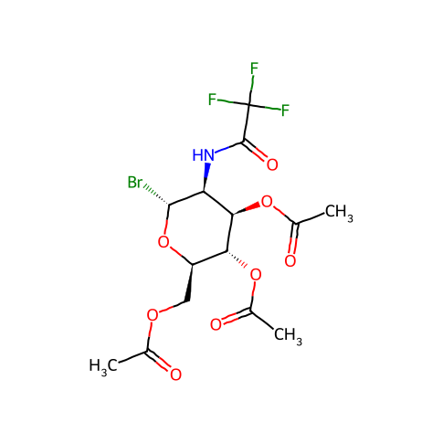 CC(=O)OC[C@H]1O[C@H](Br)[C@@H](NC(=O)C(F)(F)F)[C@@H](OC(C)=O)[C@@H]1OC(C)=O